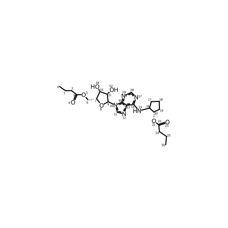 CCCC(=O)OC[C@H]1OC(n2cnc3c(NC4CCC[C@@H]4OC(=O)CCC)ncnc32)[C@H](O)[C@@H]1O